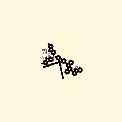 C#CC#CC#CC#CC1(C#CC#CC#CC#C)c2cc(-c3cc4c5ccccc5c(-c5cccc6c5C(CCCC)(CCCC)c5ccccc5-6)cc4c4ccccc34)ccc2-c2ccc(N(c3ccc4c(c3)C(CCCC)(CCCC)c3cc(C)ccc3-4)c3ccc4c(c3)C(CCCC)(CCCC)c3cc(C)ccc3-4)cc21